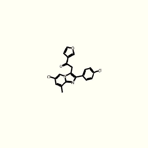 Cc1cc(Cl)cn2c(CC(=O)c3ccoc3)c(-c3ccc(Cl)cc3)nc12